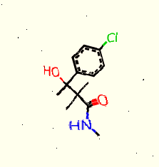 CNC(=O)C(C)(C)C(C)(O)c1ccc(Cl)cc1